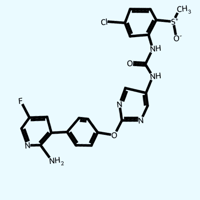 C[S+]([O-])c1ccc(Cl)cc1NC(=O)Nc1cnc(Oc2ccc(-c3cc(F)cnc3N)cc2)nc1